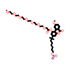 COCCOCCOCCOCCOCCOCCOCC(=O)Oc1cc(C(C)(C)CCCCCCO[N+](=O)[O-])cc2oc(=O)c3ccc(OC)cc3c12